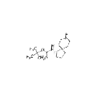 CC(C)(C)OC(=O)N[C@H]1CCCC12CCNCC2